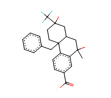 CC1(O)CC2CC(O)(C(F)(F)F)CCC2(Cc2ccccc2)c2ccc(C(=O)O)cc21